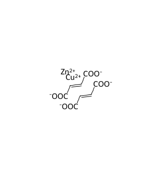 O=C([O-])/C=C/C(=O)[O-].O=C([O-])/C=C/C(=O)[O-].[Cu+2].[Zn+2]